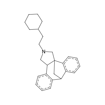 c1ccc2c(c1)C1CC3(CN(CCC4CCCCC4)CC23)c2ccccc21